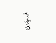 O=COCCCNC(=O)OCc1ccccc1